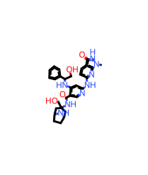 Cn1[nH]c(=O)c2ccc(Nc3cc(NC(CO)c4ccccc4)c(C(=O)NC4(CO)CC5CCC(C4)N5)cn3)nc21